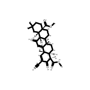 COC(=O)[C@]12CCC(C)(C)C[C@H]1[C@H]1C(=O)C=C3[C@@]4(C)C=C(C#N)C(=O)[C@](C)(C(=O)OC)[C@@H]4CC[C@@]3(C)[C@]1(C)CC2